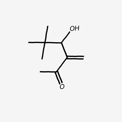 C=C(C(C)=O)C(O)C(C)(C)C